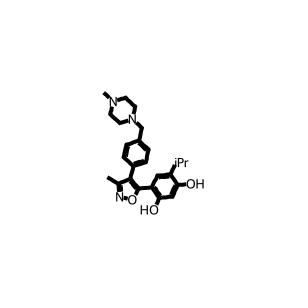 Cc1noc(-c2cc(C(C)C)c(O)cc2O)c1-c1ccc(CN2CCN(C)CC2)cc1